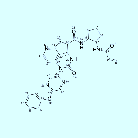 C=CC(=O)NC1CCCC1NC(=O)c1sc2nccc3c2c1NC(=O)N3c1cnc(Oc2ccccc2)cn1